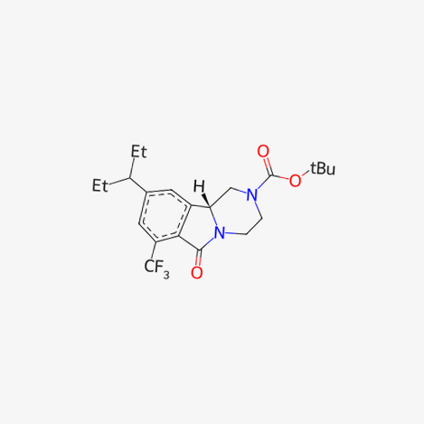 CCC(CC)c1cc2c(c(C(F)(F)F)c1)C(=O)N1CCN(C(=O)OC(C)(C)C)C[C@@H]21